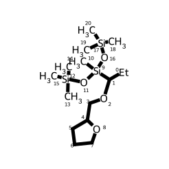 CCC(OCC1CCCO1)[Si](C)(O[Si](C)(C)C)O[Si](C)(C)C